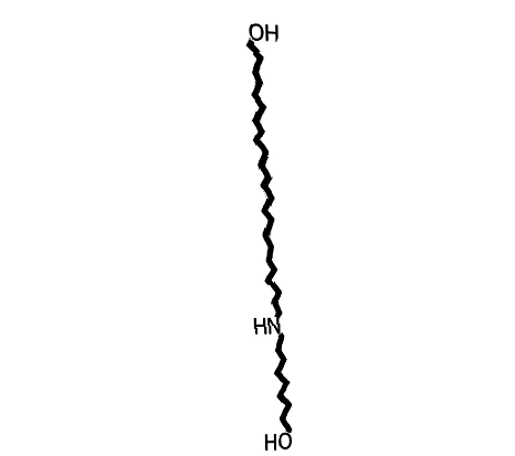 OCCCCCCCCCCCCCCCCCCCCCCCCNCCCCCCCCCO